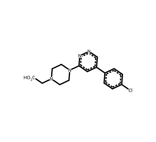 O=C(O)CN1CCN(c2cc(-c3ccc(Cl)cc3)cnn2)CC1